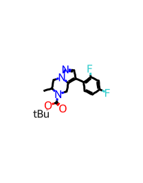 CC1Cn2ncc(-c3ccc(F)cc3F)c2CN1C(=O)OC(C)(C)C